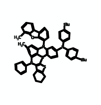 Cc1cc2c3c(c1)N(c1cccc4c1oc1c(C)cccc14)c1cc(N(c4ccc(C(C)(C)C)cc4)c4ccc(C(C)(C)C)cc4)ccc1B3c1sc3c(c1N2c1ccccc1)CCCC3